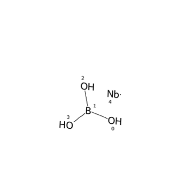 OB(O)O.[Nb]